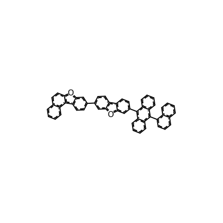 c1ccc2c(-c3c4ccccc4c(-c4ccc5c(c4)oc4cc(-c6ccc7c(c6)oc6ccc8ccccc8c67)ccc45)c4ccccc34)cccc2c1